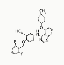 C#Cc1cc(Nc2ncnc3cccc(OC4CCN(C)CC4)c23)ccc1OCc1c(F)cccc1F